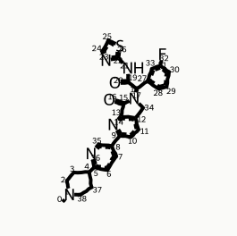 CN1CCC(c2ccc(-c3ccc4c(n3)C(=O)N(C(C(=O)Nc3nccs3)c3cccc(F)c3)C4)cn2)CC1